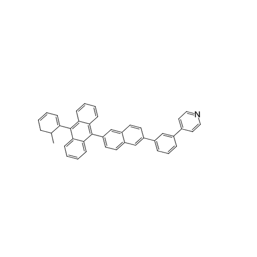 CC1CC=CC=C1c1c2ccccc2c(-c2ccc3cc(-c4cccc(-c5ccncc5)c4)ccc3c2)c2ccccc12